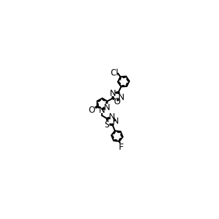 O=c1ccc(-c2nc(-c3cccc(Cl)c3)no2)nn1Cc1nnc(-c2ccc(F)cc2)s1